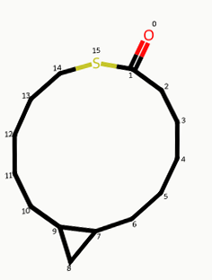 O=C1CCCCCC2CC2CCCCCS1